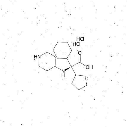 Cl.Cl.O=C(O)[C@@](NC1CCNCC1)(C1CCCCC1)C1CCCC1